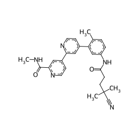 CNC(=O)c1cc(-c2cc(-c3cc(NC(=O)CCC(C)(C)C#N)ccc3C)ccn2)ccn1